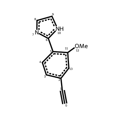 C#Cc1ccc(-c2ncc[nH]2)c(OC)c1